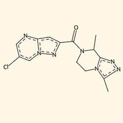 Cc1nnc2n1CCN(C(=O)c1cc3ncc(Cl)cn3n1)C2C